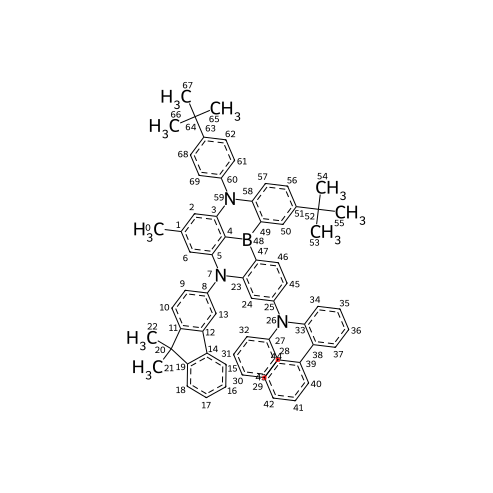 Cc1cc2c3c(c1)N(c1ccc4c(c1)-c1ccccc1C4(C)C)c1cc(N(c4ccccc4)c4ccccc4-c4ccccc4)ccc1B3c1cc(C(C)(C)C)ccc1N2c1ccc(C(C)(C)C)cc1